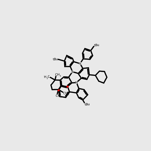 CC(C)(C)c1ccc(N2c3ccc(C(C)(C)C)cc3B3c4cc5c(cc4N(c4ccc(C(C)(C)C)cc4-c4ccccc4)c4cc(C6CCCCC6)cc2c43)C(C)(C)CCC5(C)C)cc1